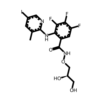 Cc1cc(I)cnc1Nc1c(C(=O)NOC[C@H](O)CO)cc(F)c(F)c1F